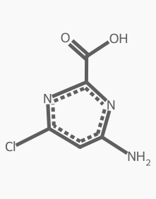 Nc1cc(Cl)nc(C(=O)O)n1